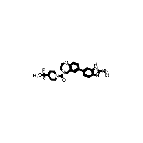 CCNc1nc2ccc(-c3ccc4c(c3)CN(C(=O)N3CCC(C(C)(F)F)CC3)CCO4)cc2[nH]1